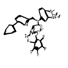 CCN(CC(=O)N(Cc1ccc(C2CCCCC2)cn1)c1ccc2nn[nH]c2c1)[S+]([O-])c1c(F)c(F)c(F)c(F)c1F